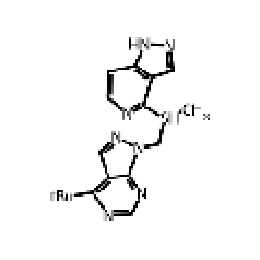 C[SH](Cn1ncc2c(C(C)(C)C)ncnc21)c1nccc2[nH]ncc12